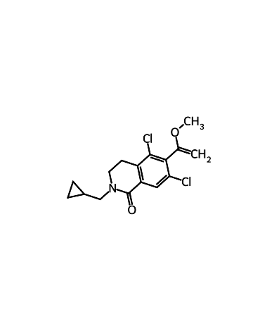 C=C(OC)c1c(Cl)cc2c(c1Cl)CCN(CC1CC1)C2=O